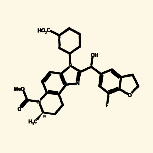 COC(=O)N1c2ccc3c(nc(C(O)c4cc(F)c5c(c4)CCO5)n3C3CCCC(C(=O)O)C3)c2CC[C@@H]1C